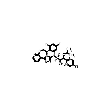 CC(C)OC(c1ncc(Cl)cn1)C(C)S(=O)(=O)Nc1nnc2n1[C@H](c1ccc(F)cc1F)COc1ncccc1-2